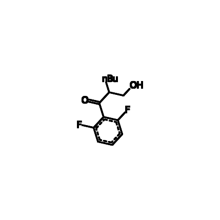 CCCCC(CO)C(=O)c1c(F)cccc1F